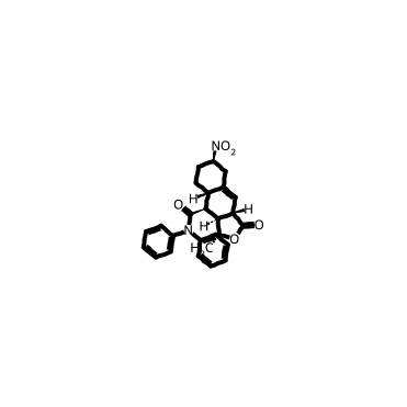 C[C@H]1OC(=O)[C@H]2C=C3C[C@H]([N+](=O)[O-])CC[C@H]3[C@H](C(=O)N(c3ccccc3)c3ccccc3)[C@@H]21